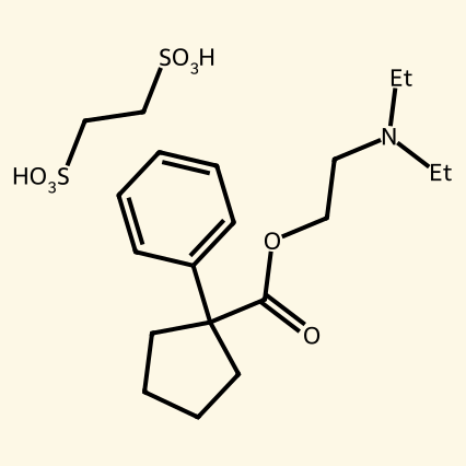 CCN(CC)CCOC(=O)C1(c2ccccc2)CCCC1.O=S(=O)(O)CCS(=O)(=O)O